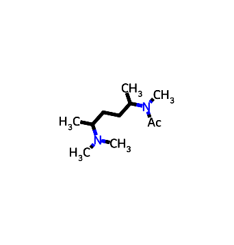 CC(=O)N(C)C(C)CCC(C)N(C)C